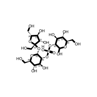 O=P(O)(O[C@H]1[C@@H](O[C@]2(CO)O[C@H](CO)[C@@H](O)[C@@H]2O)O[C@H](CO)[C@@H](O)[C@@H]1O)O[C@H]1C(O)O[C@H](CO)[C@@H](O)[C@@H]1O